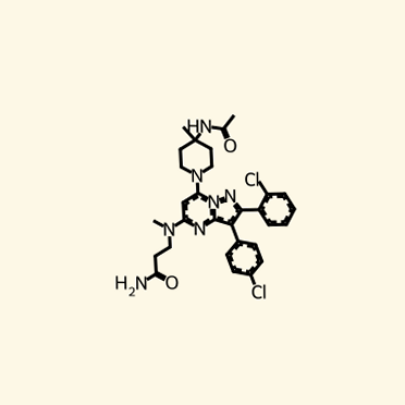 CC(=O)NC1(C)CCN(c2cc(N(C)CCC(N)=O)nc3c(-c4ccc(Cl)cc4)c(-c4ccccc4Cl)nn23)CC1